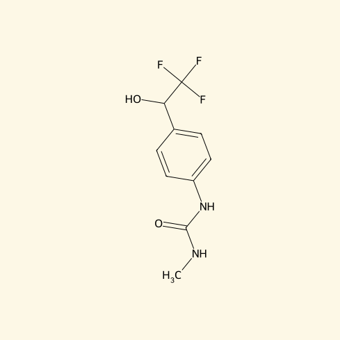 CNC(=O)Nc1ccc(C(O)C(F)(F)F)cc1